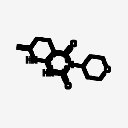 C=C1CCc2c([nH]c(=O)n(C3CCOCC3)c2=O)N1